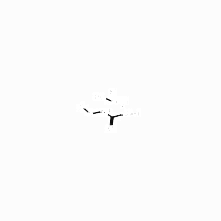 CCCCCC(=O)NS[S-].O=C(O)O.[K+]